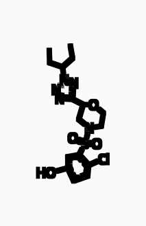 CCC(CC)n1nnc(C2CN(S(=O)(=O)c3cc(O)ccc3Cl)CCO2)n1